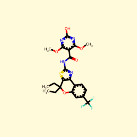 CCC1(CC)Oc2cc(C(F)(F)F)ccc2-c2nc(NC(=O)c3c(OC)nc(O)nc3OC)sc21